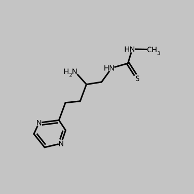 CNC(=S)NCC(N)CCc1cnccn1